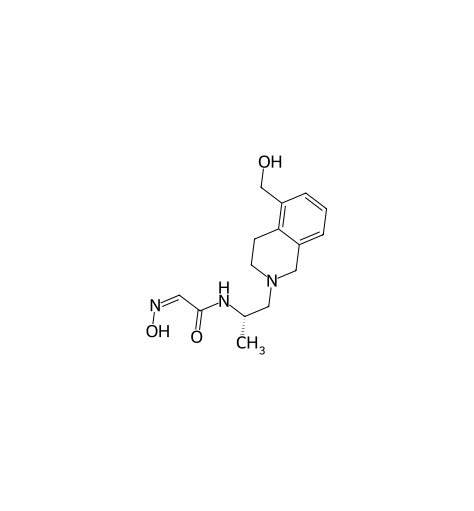 C[C@@H](CN1CCc2c(CO)cccc2C1)NC(=O)/C=N\O